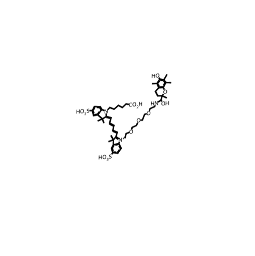 Cc1c(C)c2c(c(C)c1O)CCC(C)(C(O)NCCOCCOCCOCC[N+]1=C(/C=C/C=C/C=C3/N(CCCCCC(=O)O)c4ccc(S(=O)(=O)O)cc4C3(C)C)C(C)(C)c3cc(S(=O)(=O)O)ccc31)O2